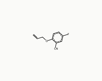 C=CCOc1c[c]c(F)cc1C#N